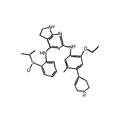 CCOc1cc(C2=CCNCC2)c(C)cc1Nc1nc2c(c(Nc3ccccc3[S+]([O-])C(C)C)n1)CCN2